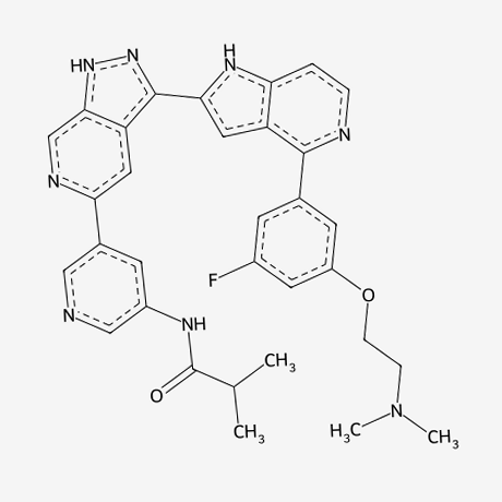 CC(C)C(=O)Nc1cncc(-c2cc3c(-c4cc5c(-c6cc(F)cc(OCCN(C)C)c6)nccc5[nH]4)n[nH]c3cn2)c1